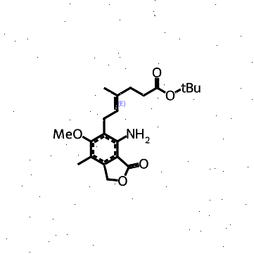 COc1c(C)c2c(c(N)c1C/C=C(\C)CCC(=O)OC(C)(C)C)C(=O)OC2